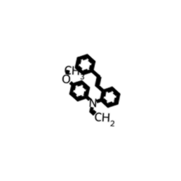 C=CN(c1ccc(OC)cc1)c1ccccc1C=Cc1ccccc1